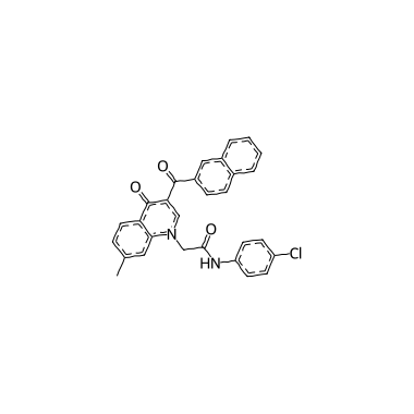 Cc1ccc2c(=O)c(C(=O)c3ccc4ccccc4c3)cn(CC(=O)Nc3ccc(Cl)cc3)c2c1